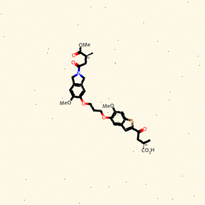 COC(=O)[C@@H](C)CC(=O)N1Cc2cc(OC)c(OCCCOc3cc4cc(C(=O)C[C@H](C)C(=O)O)sc4cc3OC)cc2C1